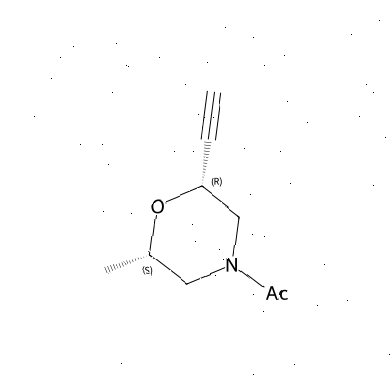 C#C[C@@H]1CN(C(C)=O)C[C@H](C)O1